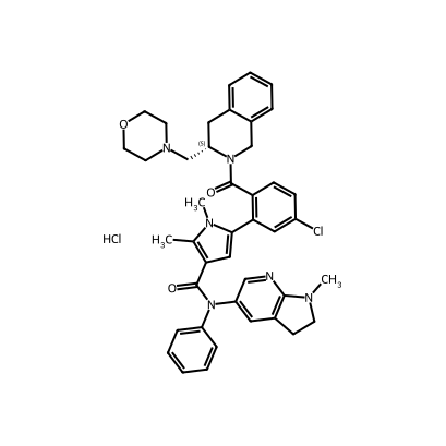 Cc1c(C(=O)N(c2ccccc2)c2cnc3c(c2)CCN3C)cc(-c2cc(Cl)ccc2C(=O)N2Cc3ccccc3C[C@H]2CN2CCOCC2)n1C.Cl